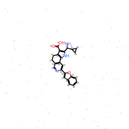 NC(c1[nH]c2c(c1C(=O)O)CCc1cnc(-c3cc4ccccc4o3)cc1-2)C1CC1